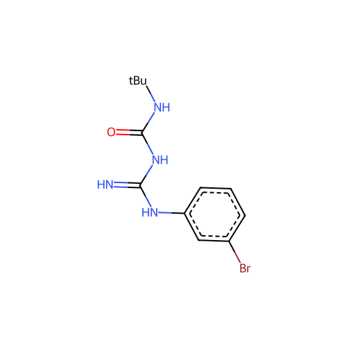 CC(C)(C)NC(=O)NC(=N)Nc1cccc(Br)c1